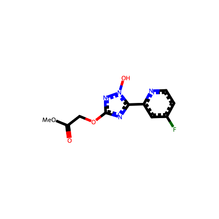 COC(=O)COc1nc(-c2cc(F)ccn2)n(O)n1